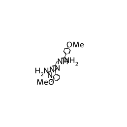 COc1ccc(/C(N)=C/NCc2cn3c(N)nc4c(OC)cccc4c3n2)cc1